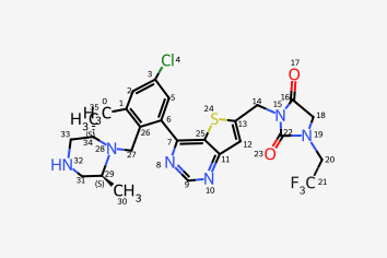 Cc1cc(Cl)cc(-c2ncnc3cc(CN4C(=O)CN(CC(F)(F)F)C4=O)sc23)c1CN1[C@@H](C)CNC[C@@H]1C